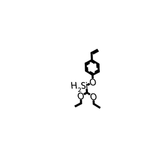 C=Cc1ccc(O[SiH2]C(OCC)OCC)cc1